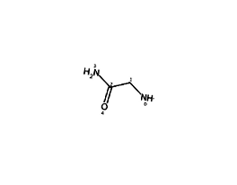 [NH]CC(N)=O